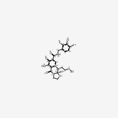 CCOCC[C@H]1[C@@H]2OCCN2C(=O)c2c(O)c(=O)c(C(=O)NCc3ccc(F)c(Cl)c3F)cn21